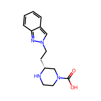 O=C(O)N1CCN[C@H](CCn2cc3ccccc3n2)C1